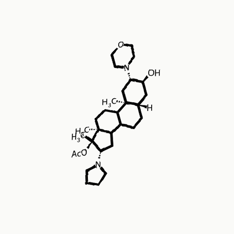 CC(=O)O[C@]1(C)[C@@H](N2CCCC2)CC2C3CC[C@H]4C[C@H](O)[C@@H](N5CCOCC5)C[C@]4(C)C3CC[C@@]21C